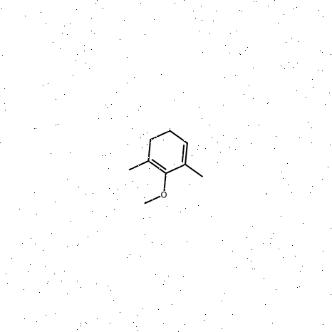 COC1=C(C)C[CH]C=C1C